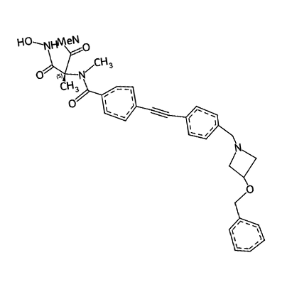 CNC(=O)[C@@](C)(C(=O)NO)N(C)C(=O)c1ccc(C#Cc2ccc(CN3CC(OCc4ccccc4)C3)cc2)cc1